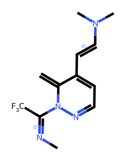 C=C1C(/C=C/N(C)C)=CC=NN1/C(=N\C)C(F)(F)F